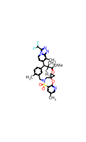 COC(=O)C(C)(C)C(c1ccc(C)c(CN2CC3(CC3)Oc3ncc(C)cc3S2(=O)=O)c1)c1ccn2c(C(F)F)nnc2c1C